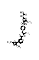 Cc1nc(C)c(-c2ccnc(C(=O)NC(C)CN3CCN(S(=O)(=O)c4sc(NC(=O)O)nc4C)CC3)c2)s1